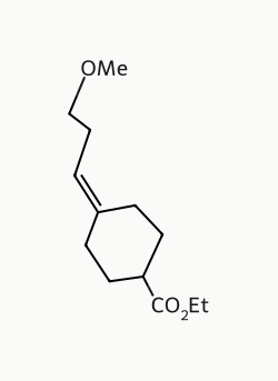 CCOC(=O)C1CCC(=CCCOC)CC1